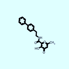 Cc1cc(=O)c(O)c(C(=O)NCCc2ccc(-c3ccccc3)cc2)o1